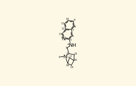 CN1C(CNc2cc3ccccc3cn2)CC2CC1C2